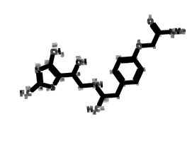 CNC(=O)COc1ccc(CC(C)NCC(O)c2sc(C(F)(F)F)nc2C)cc1